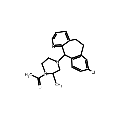 CC(=O)N1CCN(C2c3ccc(Cl)cc3CCc3cccnc32)CC1C